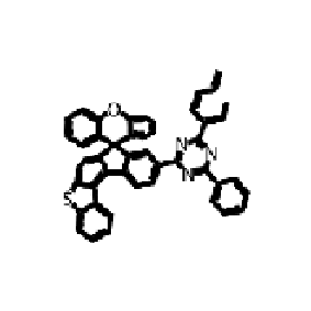 C=C/C=C\C(=C/C)c1nc(-c2ccccc2)nc(-c2ccc3c(c2)C2(c4ccccc4Oc4ccccc42)c2ccc4sc5ccccc5c4c2-3)n1